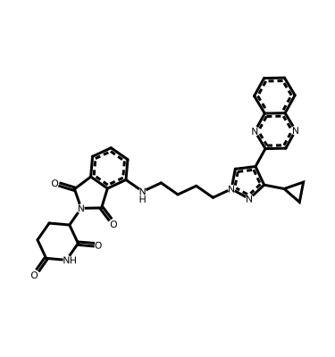 O=C1CCC(N2C(=O)c3cccc(NCCCCn4cc(-c5cnc6ccccc6n5)c(C5CC5)n4)c3C2=O)C(=O)N1